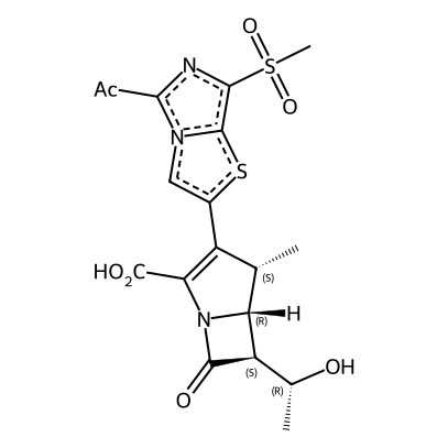 CC(=O)c1nc(S(C)(=O)=O)c2sc(C3=C(C(=O)O)N4C(=O)[C@H]([C@@H](C)O)[C@H]4[C@H]3C)cn12